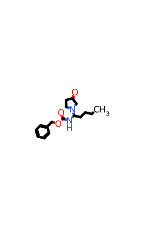 CCCCC(NC(=O)OCc1ccccc1)N1CCC(=O)C1